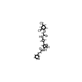 O=C(CCc1cccnc1)Nc1cc(C2CC(NC(=O)COc3ccc(Cl)cc3Cl)C2)n[nH]1